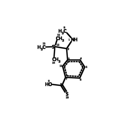 CNC(c1cccc(C(O)=S)c1)[Si](C)(C)C